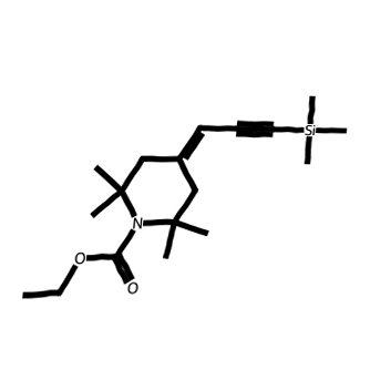 CCOC(=O)N1C(C)(C)CC(=CC#C[Si](C)(C)C)CC1(C)C